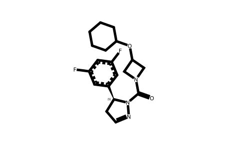 O=C(N1CC(OC2CCCCC2)C1)N1N=CC[C@H]1c1cc(F)cc(F)c1